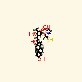 CC(C)c1cccc(C(C)C)c1O.C[C@H](CS)C(=O)N1CCC[C@H]1C(=O)O.C[C@]12CC[C@@H]3c4ccc(O)cc4CC[C@H]3[C@@H]1CC[C@@H]2O